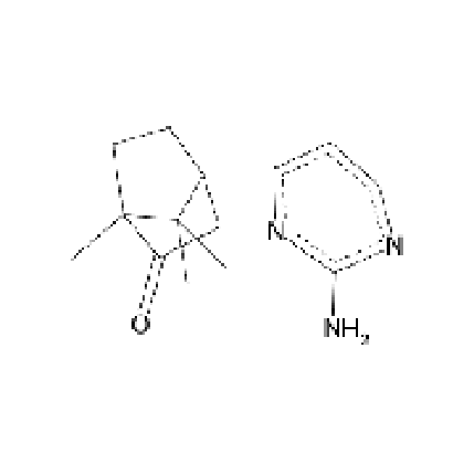 CC12CCC(CC1=O)C2(C)C.Nc1ncccn1